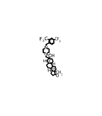 C[C@]12CCC(O)(CN3CCN(Cc4ccc(C(F)(F)F)cc4C(F)(F)F)CC3)CC1CC[C@@H]1[C@H]2CC[C@]2(C)C(=O)CC[C@@H]12